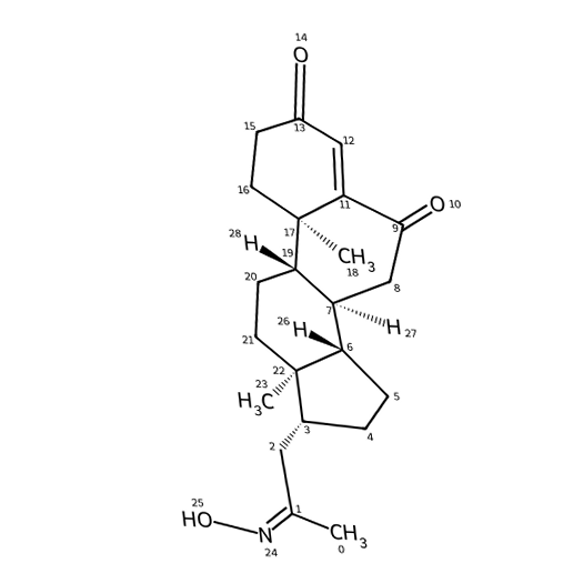 C/C(C[C@H]1CC[C@H]2[C@@H]3CC(=O)C4=CC(=O)CC[C@]4(C)[C@H]3CC[C@]12C)=N/O